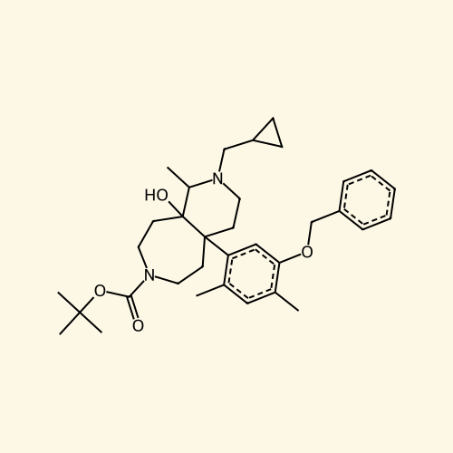 Cc1cc(C)c(C23CCN(C(=O)OC(C)(C)C)CCC2(O)C(C)N(CC2CC2)CC3)cc1OCc1ccccc1